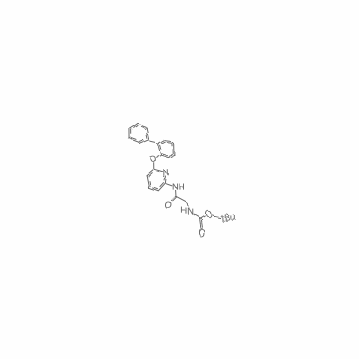 CC(C)(C)OC(=O)NCC(=O)Nc1cccc(Oc2ccccc2-c2ccccc2)n1